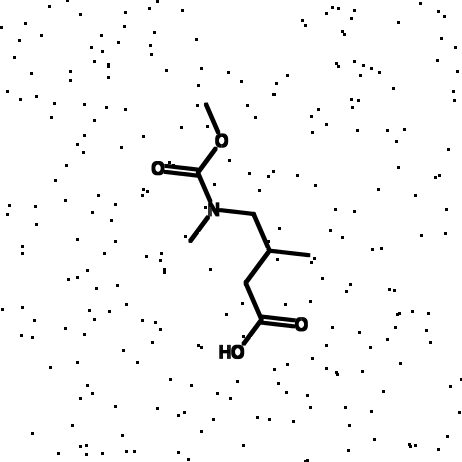 COC(=O)N(C)CC(C)CC(=O)O